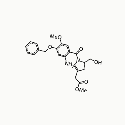 COC(=O)CC1=CN(C(=O)c2cc(OC)c(OCc3ccccc3)cc2N)C(CO)C1